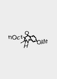 CCCCCCCCc1c(C)[nH]c2cc(OC)ccc2c1=O